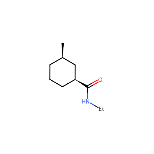 CCNC(=O)[C@H]1CCC[C@@H](C)C1